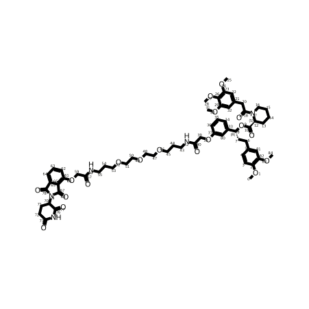 COc1ccc(CC[C@@H](OC(=O)[C@@H]2CCCCN2C(=O)Cc2cc(OC)c(OC)c(OC)c2)c2cccc(OCC(=O)NCCCOCCOCCOCCCNC(=O)COc3cccc4c3C(=O)N(C3CCC(=O)NC3=O)C4=O)c2)cc1OC